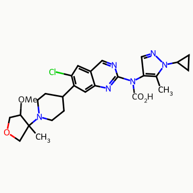 COC1COCC1(C)N1CCC(c2cc3nc(N(C(=O)O)c4cnn(C5CC5)c4C)ncc3cc2Cl)CC1